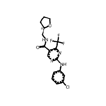 O=C(NC[C@H]1CCCO1)c1cnc(Nc2cccc(Cl)c2)nc1C(F)(F)F